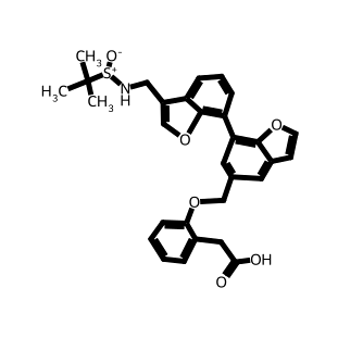 CC(C)(C)[S+]([O-])NCc1coc2c(-c3cc(COc4ccccc4CC(=O)O)cc4ccoc34)cccc12